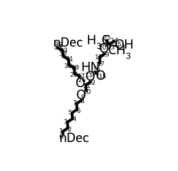 CCCCCCCCCCCCCCCCCCOCC(COC(=O)NCCCOC(C)(C)CO)OCCCCCCCCCCCCCCCCCC